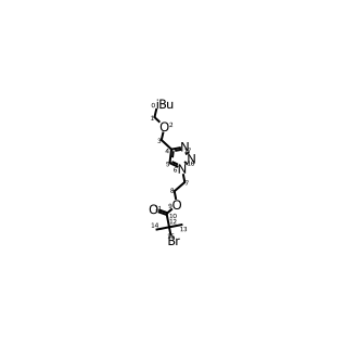 CCC(C)COCc1cn(CCOC(=O)C(C)(C)Br)nn1